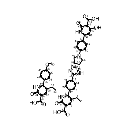 CCc1cc(C(=O)O)c(=O)[nH]c1-c1ccc(-c2nnn[nH]2)cc1.CCc1cc(C(=O)O)c(=O)[nH]c1-c1ccc(OC)cc1.O=C(O)c1c(O)cc(-c2ccc(N3CCCC3)cc2)[nH]c1=O